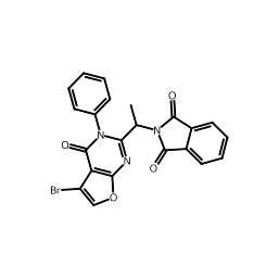 CC(c1nc2occ(Br)c2c(=O)n1-c1ccccc1)N1C(=O)c2ccccc2C1=O